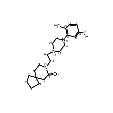 O=C1CC2(CCCC2)CCN1CCN1CCN(c2cc(Cl)ccc2F)CC1